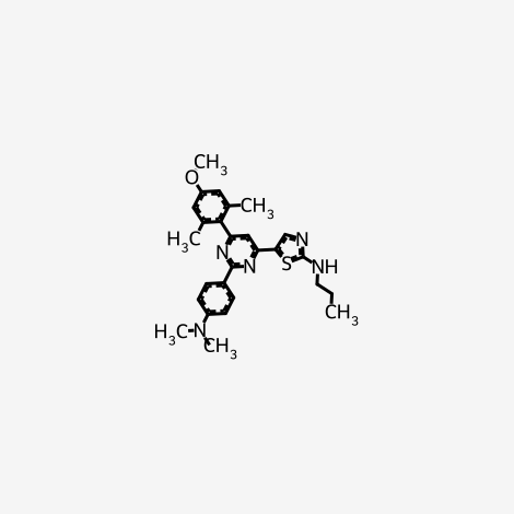 CCCNc1ncc(-c2cc(-c3c(C)cc(OC)cc3C)nc(-c3ccc(N(C)C)cc3)n2)s1